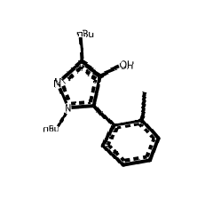 CCCCc1nn(CCCC)c(-c2ccccc2C)c1O